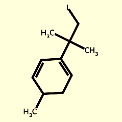 CC1C=CC(C(C)(C)CI)=CC1